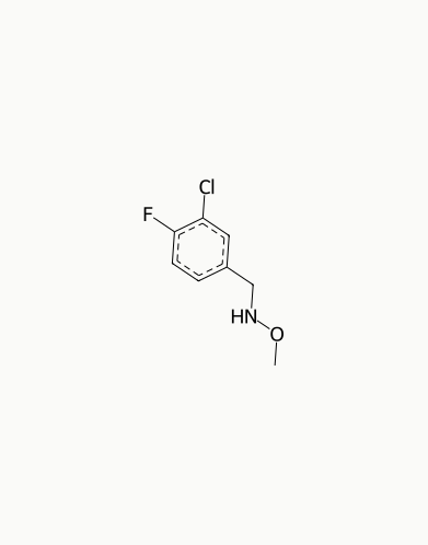 CONCc1ccc(F)c(Cl)c1